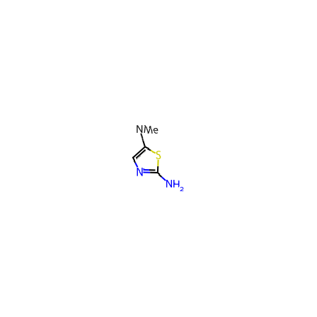 CNc1cnc(N)s1